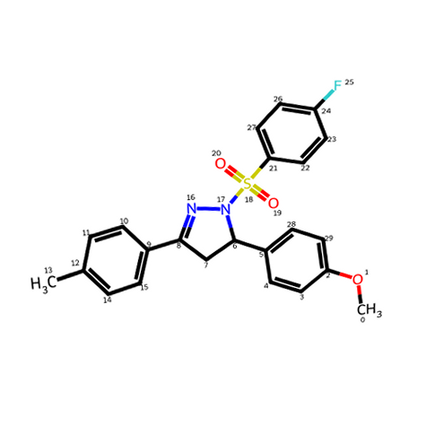 COc1ccc(C2CC(c3ccc(C)cc3)=NN2S(=O)(=O)c2ccc(F)cc2)cc1